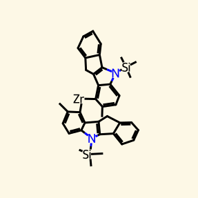 Cc1ccc2c(c3c(n2[Si](C)(C)C)-c2ccccc2C3)[c]1[Zr][c]1c(C)ccc2c1c1c(n2[Si](C)(C)C)-c2ccccc2C1